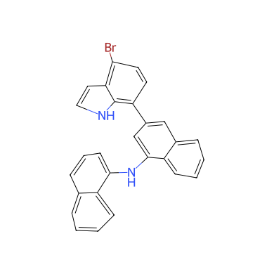 Brc1ccc(-c2cc(Nc3cccc4ccccc34)c3ccccc3c2)c2[nH]ccc12